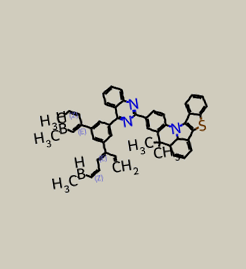 C=C/C(=C\C=C/BC)c1cc(C(/C=C\C)=C/BC)cc(-c2nc(-c3ccc4c(c3)C(C)(C)C3C=CC=C5c6sc7ccccc7c6N4C53)nc3ccccc23)c1